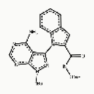 CONC(=O)c1cc2ccccc2n1-c1nn(C(C)(C)C)c2ncnc(N)c12